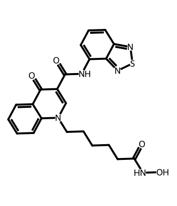 O=C(CCCCCn1cc(C(=O)Nc2cccc3nsnc23)c(=O)c2ccccc21)NO